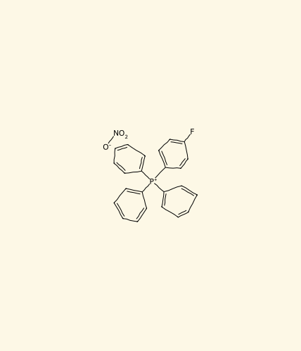 Fc1ccc([P+](c2ccccc2)(c2ccccc2)c2ccccc2)cc1.O=[N+]([O-])[O-]